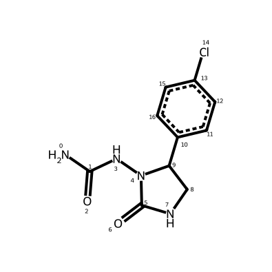 NC(=O)NN1C(=O)NCC1c1ccc(Cl)cc1